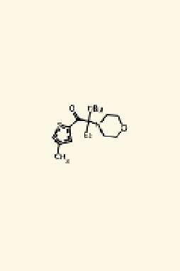 CCCCC(CC)(C(=O)c1cc(C)cs1)N1CCOCC1